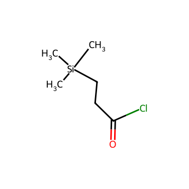 C[Si](C)(C)CCC(=O)Cl